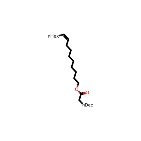 CCCCCC/C=C\CCCCCCCCOC(=O)CCCCCCCCCCC